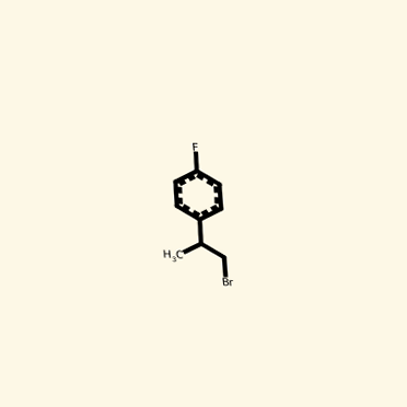 CC(CBr)c1ccc(F)cc1